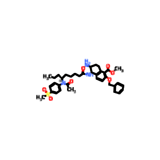 CCC[C@@H](CCCCC(=O)NC1c2ccc(OCc3ccccc3)c(C(=O)OC)c2CCC1N)N(C(C)=O)c1ccc(S(C)(=O)=O)cc1